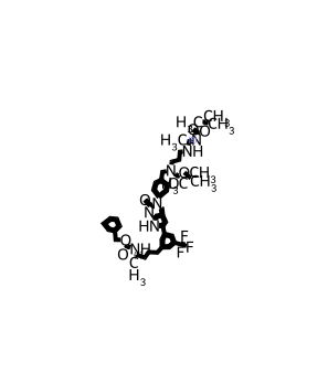 C/C(=N\C(=O)OC(C)(C)C)NCCCN(Cc1ccc(-n2cc3cc(-c4cc(CCC[C@H](C)NC(=O)OCc5ccccc5)cc(C(F)(F)F)c4)[nH]c3nc2=O)cc1)C(=O)OC(C)(C)C